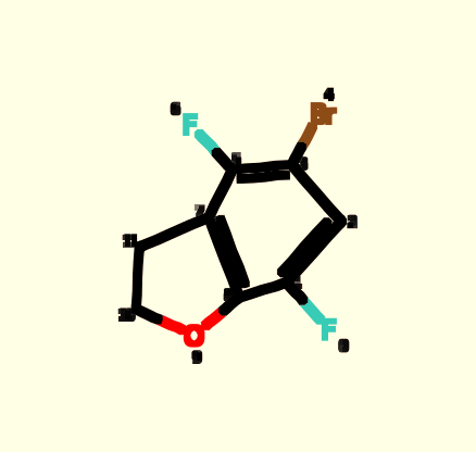 Fc1cc(Br)c(F)c2c1OCC2